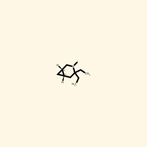 CCC1(CC)C[C@@H]2C[C@@H]2CN1I